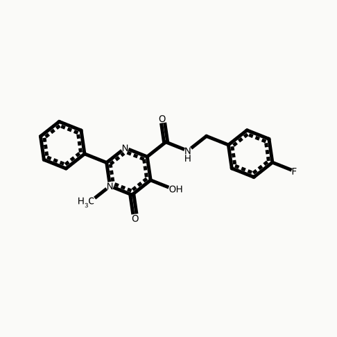 Cn1c(-c2ccccc2)nc(C(=O)NCc2ccc(F)cc2)c(O)c1=O